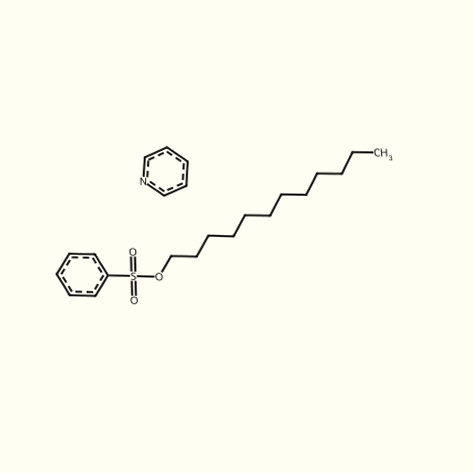 CCCCCCCCCCCCOS(=O)(=O)c1ccccc1.c1ccncc1